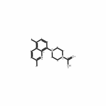 Cc1ccc2c(C)ccc(N3CCN(C(=O)O)CC3)c2n1